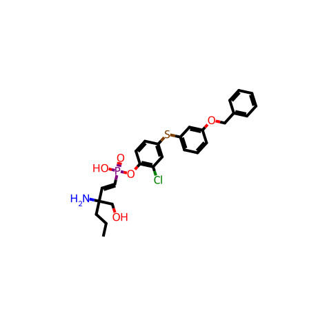 CCCC(N)(C=CP(=O)(O)Oc1ccc(Sc2cccc(OCc3ccccc3)c2)cc1Cl)CO